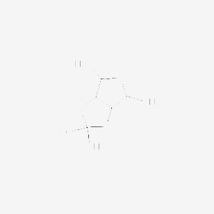 CC1OC(C)C2OC(C)(C)OC12